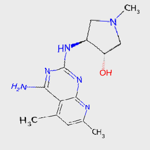 Cc1cc(C)c2c(N)nc(N[C@H]3CN(C)C[C@@H]3O)nc2n1